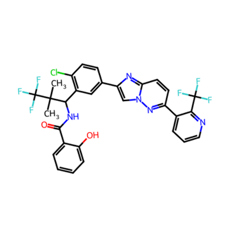 CC(C)(C(NC(=O)c1ccccc1O)c1cc(-c2cn3nc(-c4cccnc4C(F)(F)F)ccc3n2)ccc1Cl)C(F)(F)F